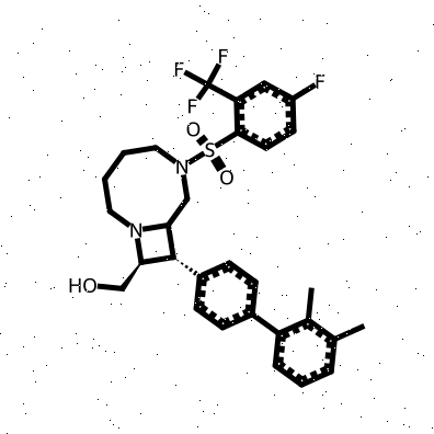 Cc1cccc(-c2ccc([C@H]3C4CN(S(=O)(=O)c5ccc(F)cc5C(F)(F)F)CCCCN4[C@@H]3CO)cc2)c1C